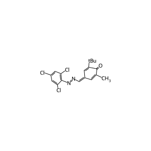 CC1=CC(=CN=Nc2c(Cl)cc(Cl)cc2Cl)C=C(C(C)(C)C)C1=O